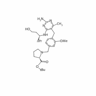 CCC[C@@H](CCO)Nc1nc(N)nc(C)c1Cc1ccc(CN2CCC[C@@H]2C(=O)OC(C)(C)C)cc1OC